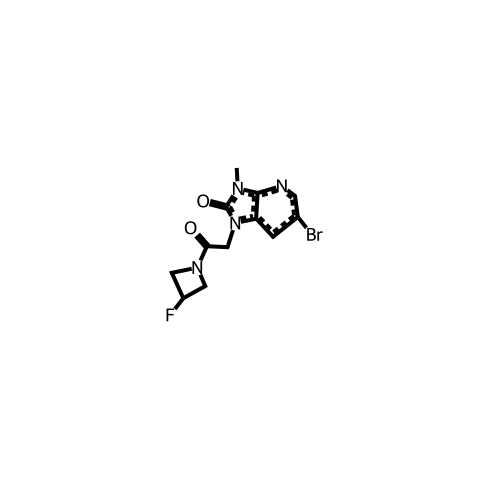 Cn1c(=O)n(CC(=O)N2CC(F)C2)c2cc(Br)cnc21